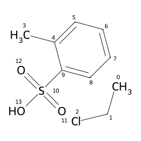 CCCl.Cc1ccccc1S(=O)(=O)O